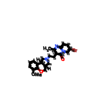 COc1cccc2c1OC[C@H]1CN(CCc3c(C)nc4ccc(Br)cn4c3=O)C[C@@H]21